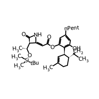 C=C(C)[C@@H]1CCC(C)=C[C@H]1c1c(O)cc(CCCCC)cc1OC(=O)/C=C1\NC(=O)[C@@H]1[C@@H](C)O[Si](C)(C)C(C)(C)C